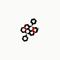 COc1cccc(P(C2CCCCC2)C2CCCCC2)c1-c1ccccc1P(c1ccccc1)c1ccccc1